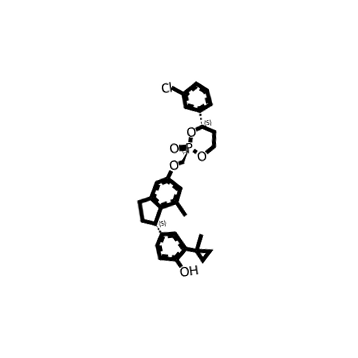 Cc1cc(OC[P@]2(=O)OCC[C@@H](c3cccc(Cl)c3)O2)cc2c1[C@H](c1ccc(O)c(C3(C)CC3)c1)CC2